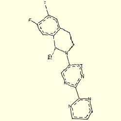 CCC1c2cc(F)c(F)cc2CCN1c1cnc(-c2ncccn2)nc1